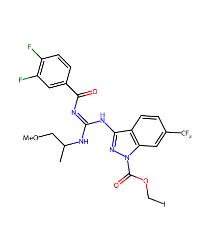 COCC(C)N/C(=N/C(=O)c1ccc(F)c(F)c1)Nc1nn(C(=O)OCI)c2cc(C(F)(F)F)ccc12